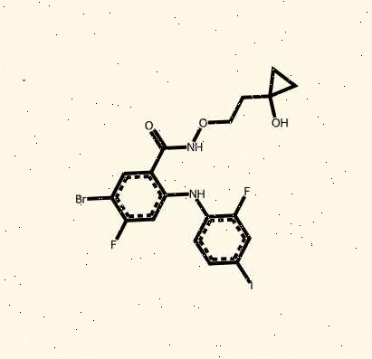 O=C(NOCCC1(O)CC1)c1cc(Br)c(F)cc1Nc1ccc(I)cc1F